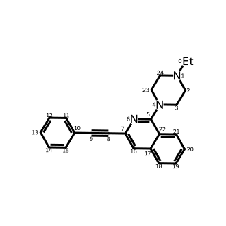 CCN1CCN(c2nc(C#Cc3ccccc3)cc3ccccc23)CC1